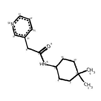 CC1(C)CCC(NC(=O)Cc2cccnc2)CC1